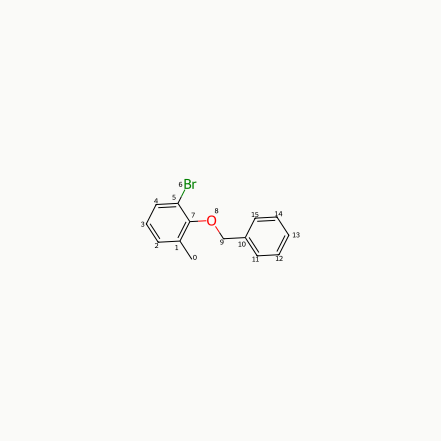 Cc1cccc(Br)c1OCc1ccccc1